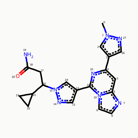 Cn1cc(-c2cc3nccn3c(-c3cnn(C(CC(N)=O)C4CC4)c3)n2)cn1